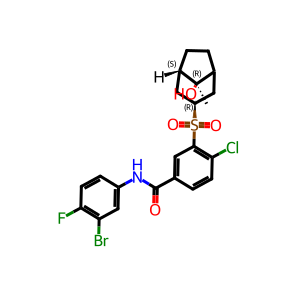 C[C@@]1(O)C2CC[C@H]1C[C@H](S(=O)(=O)c1cc(C(=O)Nc3ccc(F)c(Br)c3)ccc1Cl)C2